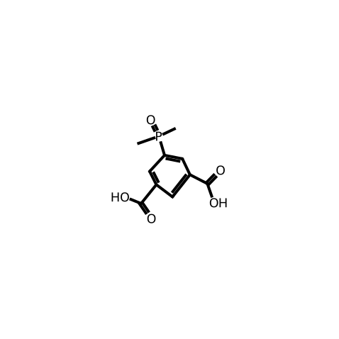 CP(C)(=O)c1cc(C(=O)O)cc(C(=O)O)c1